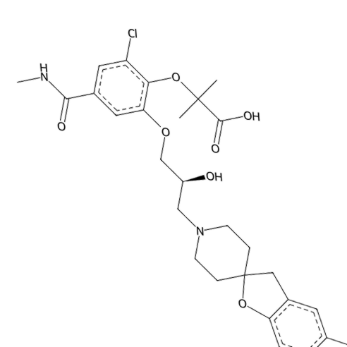 CNC(=O)c1cc(Cl)c(OC(C)(C)C(=O)O)c(OC[C@@H](O)CN2CCC3(CC2)Cc2cc(Cl)ccc2O3)c1